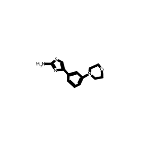 Nc1nc(-c2cccc(N3CCOCC3)c2)cs1